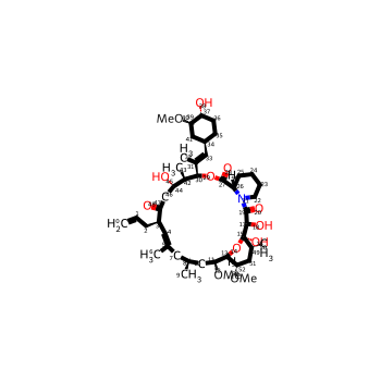 C=CC[C@@H]1/C=C(\C)C[C@H](C)C[C@H](OC)[C@H]2O[C@@](O)(C(O)C(=O)N3CCCC[C@H]3C(=O)O[C@H](/C(C)=C/[C@@H]3CC[C@@H](O)[C@H](OC)C3)[C@H](C)[C@@H](O)CC1=O)[C@H](C)C[C@@H]2OC